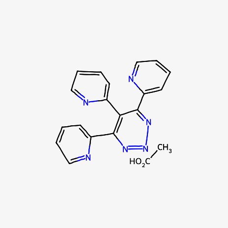 CC(=O)O.c1ccc(-c2nnnc(-c3ccccn3)c2-c2ccccn2)nc1